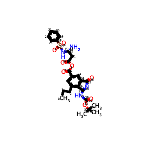 CCCc1cc(C(=O)OC(=O)C[C@@H](N)NS(=O)(=O)c2ccccc2)cc2c1C(NC(=O)OC(C)(C)C)=NC2=O